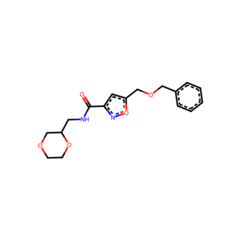 O=C(NCC1COCCO1)c1cc(COCc2ccccc2)on1